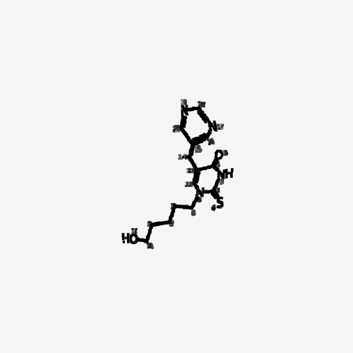 O=c1[nH]c(=S)n(CCCCCO)cc1Cc1cncnc1